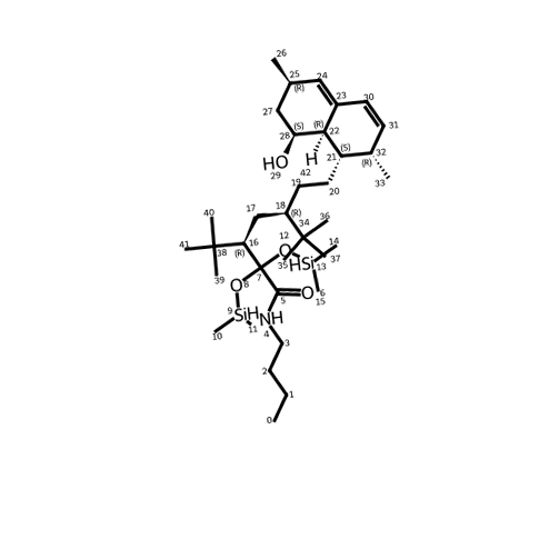 CCCCNC(=O)C(O[SiH](C)C)(O[SiH](C)C)[C@H](C[C@@H](CC[C@@H]1[C@@H]2C(=C[C@H](C)C[C@@H]2O)C=C[C@@H]1C)C(C)(C)C)C(C)(C)C